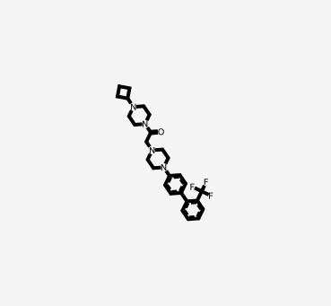 O=C(CN1CCN(c2ccc(-c3ccccc3C(F)(F)F)cc2)CC1)N1CCN(C2CCC2)CC1